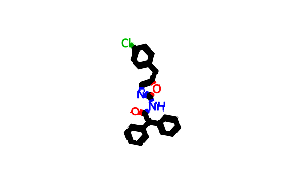 O=C(Nc1ncc(Cc2ccc(Cl)cc2)o1)C(c1ccccc1)c1ccccc1